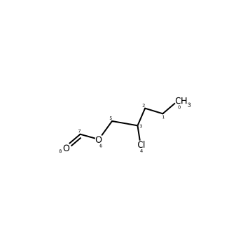 CCCC(Cl)COC=O